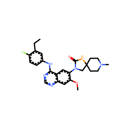 CCc1cc(Nc2ncnc3cc(OC)c(N4CC5(CCN(C)CC5)PC4=O)cc23)ccc1F